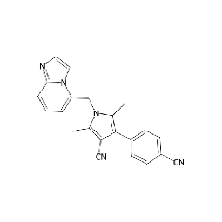 Cc1c(C#N)c(-c2ccc(C#N)cc2)c(C)n1Cc1cccc2nccn12